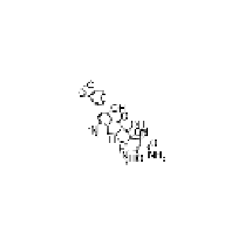 CN(C)c1cc(-c2ccc3c(c2)OCO3)c(O)c2c1C[C@H]1C[C@H]3[C@H](N(C)C)C(O)=C(C(N)=O)C(=O)[C@@]3(O)C(O)=C1C2=O